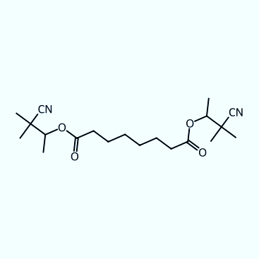 CC(OC(=O)CCCCCCC(=O)OC(C)C(C)(C)C#N)C(C)(C)C#N